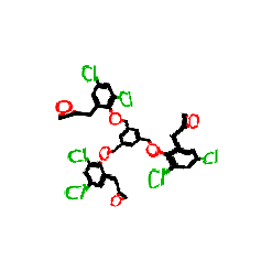 Clc1cc(Cl)c(OCc2cc(COc3c(Cl)cc(Cl)cc3CC3CO3)cc(COc3c(Cl)cc(Cl)cc3CC3CO3)c2)c(CC2CO2)c1